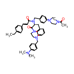 CCc1ccc(/C=C/C(=O)N(Cc2ccc(N3CCN(C(C)=O)CC3)cc2)[C@@H](Cc2ccccc2)C(=O)N2CCN(Cc3ccc(N(C)C)cc3)CC2)cc1